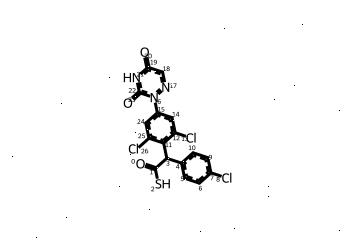 O=C(S)C(c1ccc(Cl)cc1)c1c(Cl)cc(-n2ncc(=O)[nH]c2=O)cc1Cl